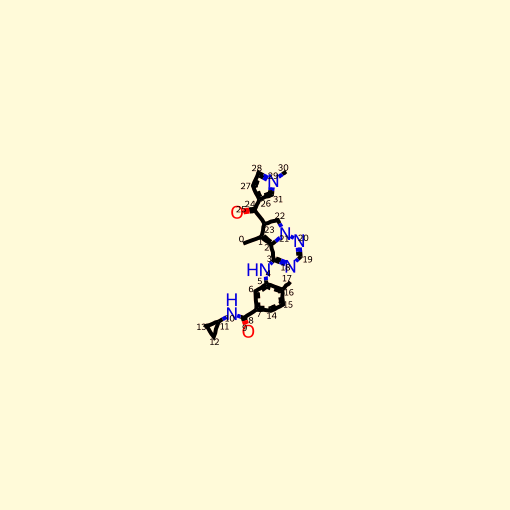 CC1=C2C(Nc3cc(C(=O)NC4CC4)ccc3C)=NC=NN2CC1C(=O)c1ccn(C)c1